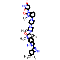 CC1CN(C2CCN(c3cccc4c3n(C)c(=O)n4C3CCC(=O)NC3=O)CC2)CCN1[C@@H](C)C(=O)N(C)c1ccc2cc(-c3n[nH]c4c3CCC(C)(C)C4)[nH]c2c1